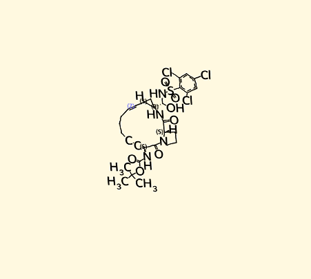 CC(C)(C)OC(=O)N[C@H]1CCCCC/C=C\[C@@H]2C[C@@]2(C(O)NS(=O)(=O)c2c(Cl)cc(Cl)cc2Cl)NC(=O)[C@@H]2CCCN2C1=O